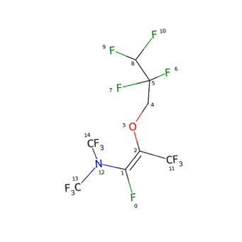 F/C(=C(/OCC(F)(F)C(F)F)C(F)(F)F)N(C(F)(F)F)C(F)(F)F